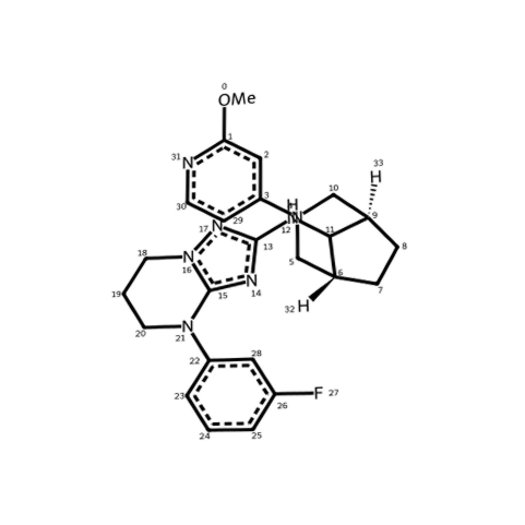 COc1cc(N2C[C@H]3CC[C@H](C2)C3Nc2nc3n(n2)CCCN3c2cccc(F)c2)ccn1